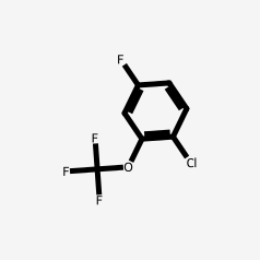 Fc1ccc(Cl)c(OC(F)(F)F)c1